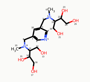 CN(Cc1cncc(CN(C)C(CO)C(O)CO)c1)C(CO)C(O)CO